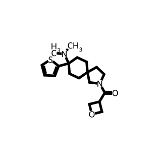 CN(C)C1(c2cccs2)CCC2(CCN(C(=O)C3COC3)C2)CC1